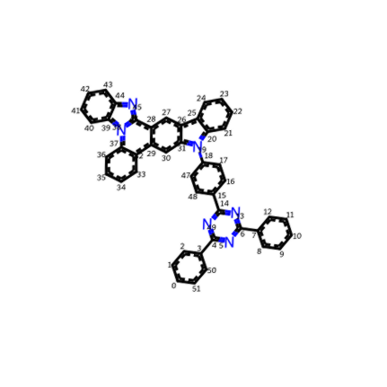 c1ccc(-c2nc(-c3ccccc3)nc(-c3ccc(-n4c5ccccc5c5cc6c(cc54)c4ccccc4n4c5ccccc5nc64)cc3)n2)cc1